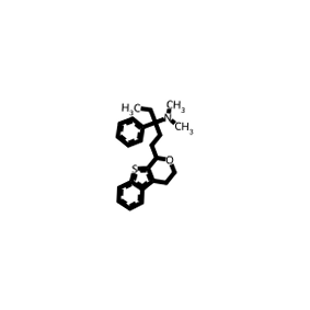 CCC(CCC1OCCc2c1sc1ccccc21)(c1ccccc1)N(C)C